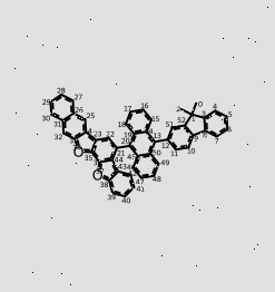 CC1(C)c2ccccc2-c2ccc(-c3c4ccccc4c(-c4cc5c6cc7ccccc7cc6oc5c5oc6ccccc6c45)c4ccccc34)cc21